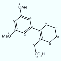 COc1cc(OC)cc(C2=C(CC(=O)O)CCCC2)c1